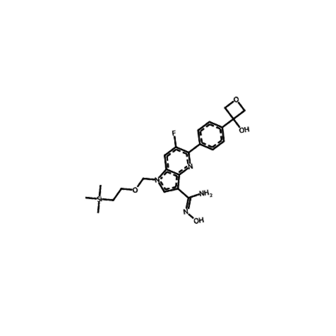 C[Si](C)(C)CCOCn1cc(/C(N)=N/O)c2nc(-c3ccc(C4(O)COC4)cc3)c(F)cc21